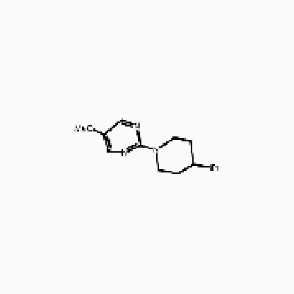 COc1cnc(N2CCC(C(C)C)CC2)nc1